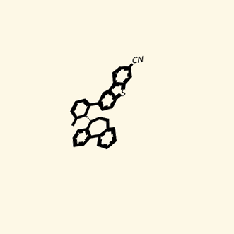 CC1C=CC=C(c2ccc3sc4cc(C#N)ccc4c3c2)C1[C@@H]1CCc2ccccc2-c2ccccc21